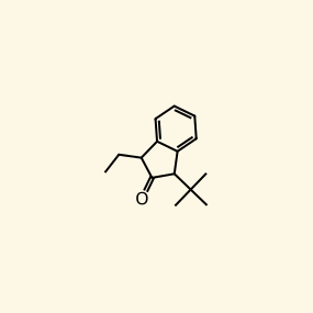 CCC1C(=O)C(C(C)(C)C)c2ccccc21